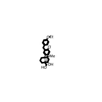 CCOc1ccc(Cc2cc([C@]34CCCC(CO)(O3)C(O)CC4OC)ccc2Cl)cc1